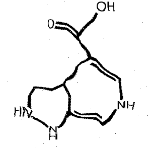 O=C(O)C1=CNC=C2NNCC21